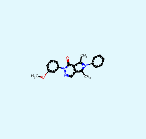 COc1cccc(-n2ncc3c(C)n(-c4ccccc4)c(C)c3c2=O)c1